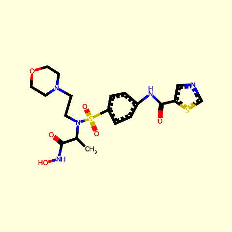 CC(C(=O)NO)N(CCN1CCOCC1)S(=O)(=O)c1ccc(NC(=O)c2cncs2)cc1